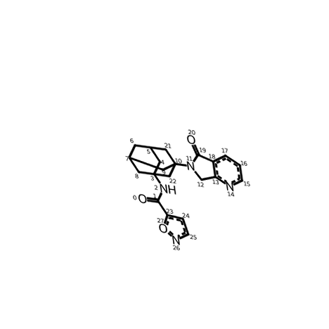 O=C(NC12CC3CC(C1)CC(N1Cc4ncccc4C1=O)(C3)C2)c1ccno1